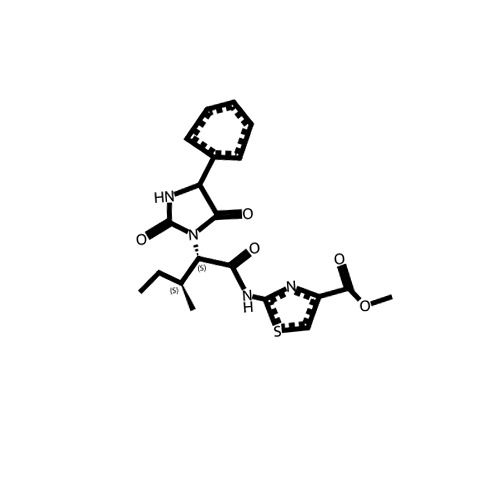 CC[C@H](C)[C@@H](C(=O)Nc1nc(C(=O)OC)cs1)N1C(=O)NC(c2ccccc2)C1=O